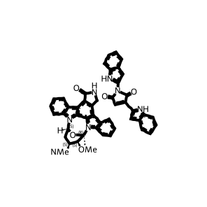 CN[C@H]1C[C@@H]2O[C@](C)([C@H]1OC)n1c3ccccc3c3c4c(c5c6ccccc6n2c5c31)C(=O)NC4.O=C1C=C(c2cc3ccccc3[nH]2)C(=O)N1c1cc2ccccc2[nH]1